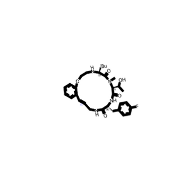 CCC(C)[C@@H]1NCCOc2ccccc2/C=C/CNC(=O)[C@@H](Cc2ccc(F)cc2)NC(=O)[C@H](C(C)O)N(C)C1=O